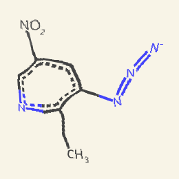 Cc1ncc([N+](=O)[O-])cc1N=[N+]=[N-]